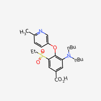 CCCCN(CCCC)c1cc(C(=O)O)cc(S(=O)(=O)CC)c1Oc1ccc(C)nc1